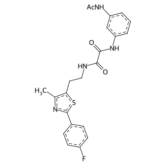 CC(=O)Nc1cccc(NC(=O)C(=O)NCCc2sc(-c3ccc(F)cc3)nc2C)c1